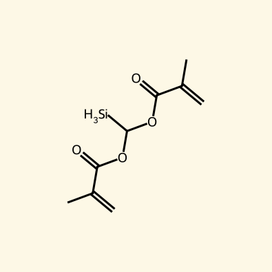 C=C(C)C(=O)OC([SiH3])OC(=O)C(=C)C